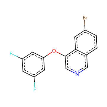 Fc1cc(F)cc(Oc2cncc3ccc(Br)cc23)c1